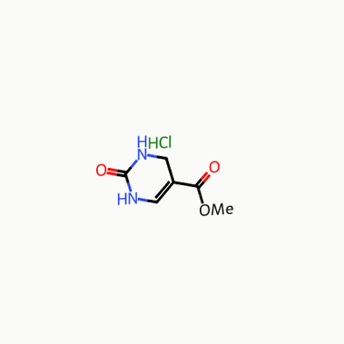 COC(=O)C1=CNC(=O)NC1.Cl